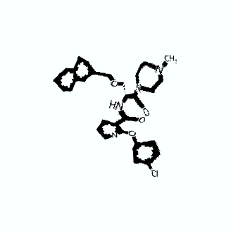 CN1CCN(C(=O)[C@@H](COCc2ccc3ccccc3c2)NC(=O)c2cccnc2Oc2ccc(Cl)cc2)CC1